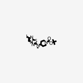 CN(c1nn2cc(I)nc2s1)C1CCN(C(=O)OC(C)(C)C)CC1